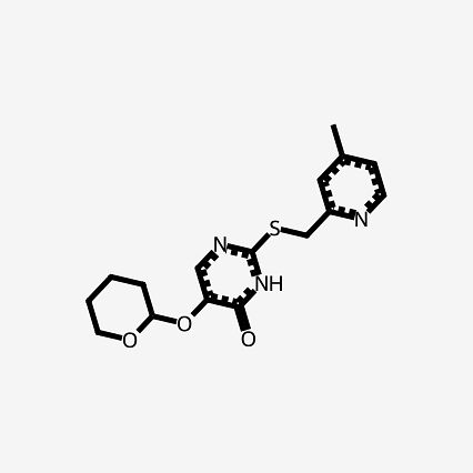 Cc1ccnc(CSc2ncc(OC3CCCCO3)c(=O)[nH]2)c1